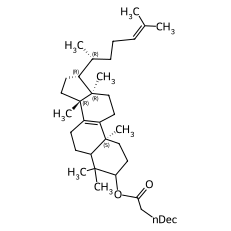 CCCCCCCCCCCC(=O)OC1CC[C@]2(C)C3=C(CCC2C1(C)C)[C@]1(C)CC[C@H]([C@H](C)CCC=C(C)C)[C@@]1(C)CC3